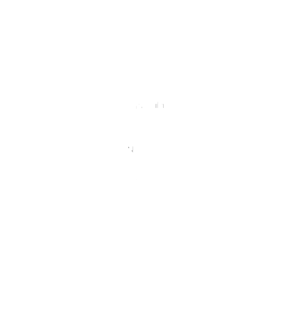 Cc1ccc(OCCN2CCC(OC(C)C)CC2)cc1